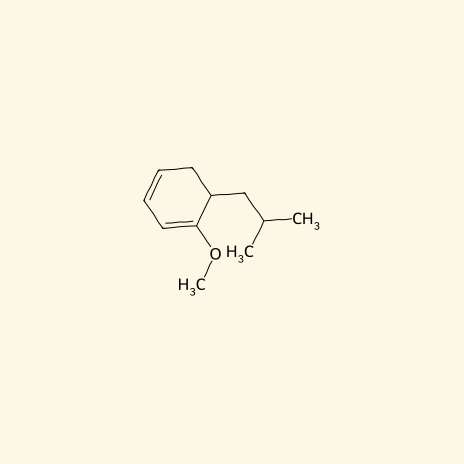 COC1=CC=CCC1CC(C)C